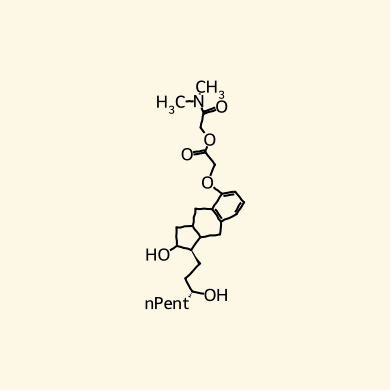 CCCCC[C@@H](O)CC[C@H]1C(O)CC2Cc3c(cccc3OCC(=O)OCC(=O)N(C)C)CC21